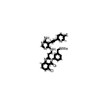 CNCc1cccc(-n2c(CCNc3ncnc(N)c3C#Cc3ccc(F)cn3)nc3cccc(Cl)c3c2=O)c1